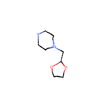 C1CN(CC2OCCO2)CC[N]1